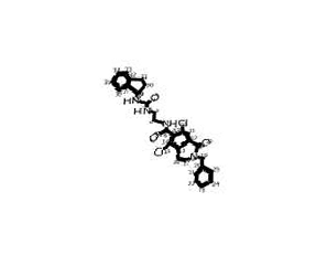 O=C(NCCNC(=O)c1c(Cl)cc2c(c1Cl)CCN(Cc1ccccc1)C2=O)N[C@@H]1CCc2ccccc21